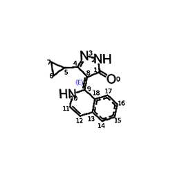 O=C1NN=C(C2CC2)/C1=C1\NC=Cc2ccccc21